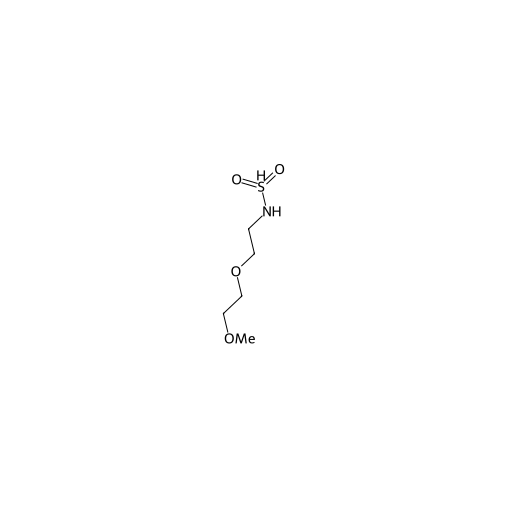 COCCOCCN[SH](=O)=O